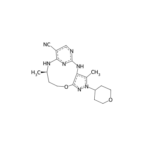 Cc1c2c(nn1C1CCOCC1)OCC[C@@H](C)Nc1nc(ncc1C#N)N2